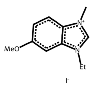 CCn1c[n+](C)c2ccc(OC)cc21.[I-]